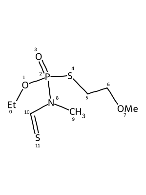 CCOP(=O)(SCCOC)N(C)C=S